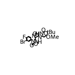 COCCC(NC(=O)OC(C)(C)C)Nc1nonc1-c1noc(=O)n1-c1ccc(F)c(Br)c1